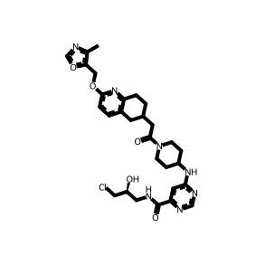 Cc1ncoc1COc1ccc2c(n1)CCC(CC(=O)N1CCC(Nc3cc(C(=O)NC[C@H](O)CCl)ncn3)CC1)C2